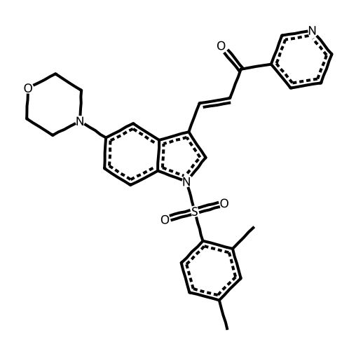 Cc1ccc(S(=O)(=O)n2cc(/C=C/C(=O)c3cccnc3)c3cc(N4CCOCC4)ccc32)c(C)c1